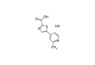 Cc1cc(-c2cnc(C(=O)O)s2)ccn1.[LiH]